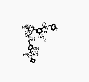 CC(C)Nc1ncc(-c2cc(N)cc(C(=O)NCc3ccc(F)cc3)c2)n(CC(=O)NCc2ccc(C(=N)NC(=O)OC3CCC3)c(O)c2)c1=O